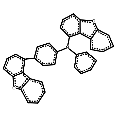 c1ccc(N(c2ccc(-c3cccc4oc5ccccc5c34)cc2)c2cccc3oc4ccccc4c23)cc1